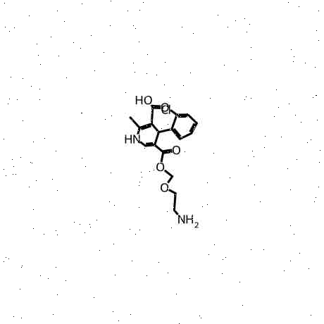 CC1=C(C(=O)O)C(c2ccccc2Cl)C(C(=O)OCOCCN)=CN1